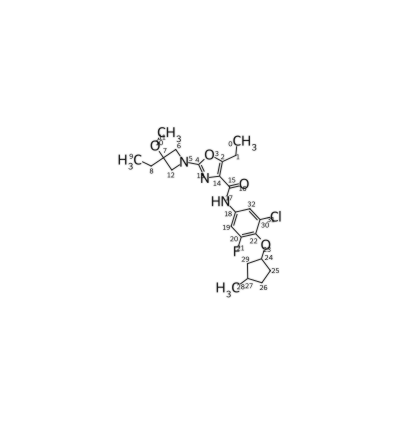 CCc1oc(N2CC(CC)(OC)C2)nc1C(=O)Nc1cc(F)c(OC2CCC(C)C2)c(Cl)c1